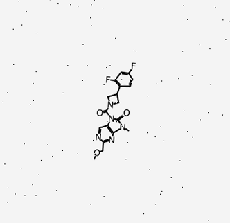 COCc1ncc2c(n1)n(C)c(=O)n2C(=O)N1CC(c2ccc(F)cc2F)C1